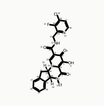 CCN1C(=O)c2c(O)c(=O)c(C(=O)NCc3nccc(Cl)c3F)cn2[C@H]2Cc3ccccc3[C@H]21